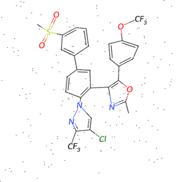 Cc1nc(-c2cc(-c3cccc(S(C)(=O)=O)c3)ccc2-n2cc(Cl)c(C(F)(F)F)n2)c(-c2ccc(OC(F)(F)F)cc2)o1